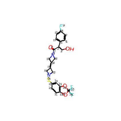 O=C(C(CO)c1ccc(F)cc1)N1CC(=C2CN(Sc3ccc4c(c3)OC(F)(F)O4)C2)C1